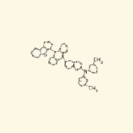 Cc1cccc(N(c2cccc(C)c2)c2ccc3cc(-c4c5ccccc5c(-c5cccc6c5sc5ccccc56)c5ccccc45)ccc3c2)c1